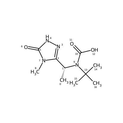 C[C@H](c1n[nH]c(=O)n1C)N(C(=O)O)C(C)(C)C